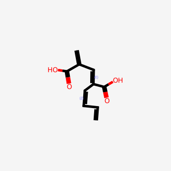 C=C/C=C\C(=C/C(=C)C(=O)O)C(=O)O